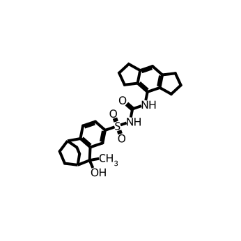 CC1(O)c2cc(S(=O)(=O)NC(=O)Nc3c4c(cc5c3CCC5)CCC4)ccc2C2CCC1CC2